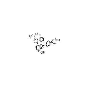 CC(C)N1CCN(c2ncnc3oc(-c4ccc(N5CCNCC5)cc4)c(-c4ccccc4)c23)CC1.Cl